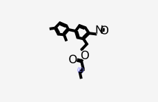 C/C=C/C(=O)OCCc1cc(-c2ccc(C)cc2C)ccc1CN=O